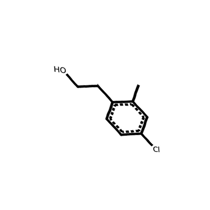 Cc1cc(Cl)ccc1[CH]CO